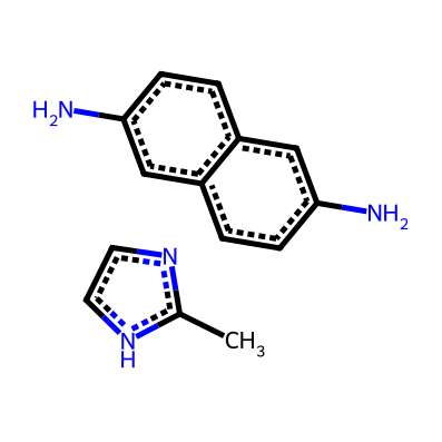 Cc1ncc[nH]1.Nc1ccc2cc(N)ccc2c1